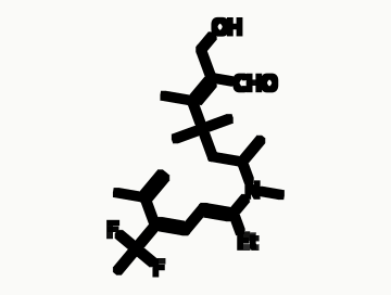 C=C(C)/C(=C\C=C(/CC)N(C)C(C)CC(C)(C)/C(C)=C(\C=O)CO)C(C)(F)F